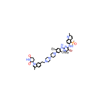 CCc1cc(Nc2ncc(Br)c(Nc3ccc4nc(C)ccc4c3P(C)(C)=O)n2)c(OC)cc1N1CCC(N2CCN(CCc3ccc4c(C)cn(C5CCC(=O)NC5=O)c4c3)CC2)CC1